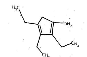 CCC1=C(CC)C(CC)=[C]([InH2])C1